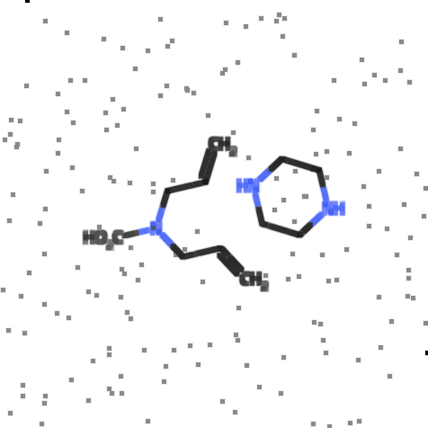 C1CNCCN1.C=CCN(CC=C)C(=O)O